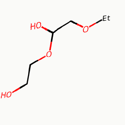 CCOCC(O)OCCO